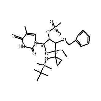 CC[C@]1(C2(O[Si](C)(C)C(C)(C)C)CC2)O[C@@H](n2cc(C)c(=O)[nH]c2=O)[C@@H](OS(C)(=O)=O)C1OCc1ccccc1